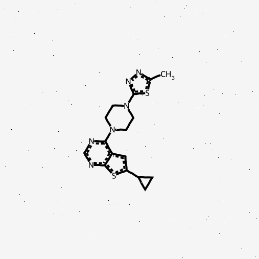 Cc1nnc(N2CCN(c3ncnc4sc(C5CC5)cc34)CC2)s1